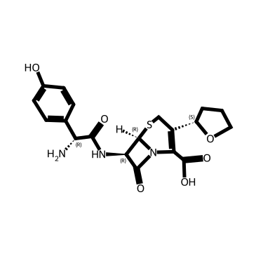 N[C@@H](C(=O)N[C@@H]1C(=O)N2C(C(=O)O)=C([C@@H]3CCCO3)CS[C@H]12)c1ccc(O)cc1